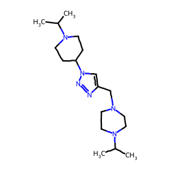 CC(C)N1CCC(n2cc(CN3CCN(C(C)C)CC3)nn2)CC1